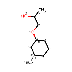 CC(O)CO[C@H]1CCC[C@H](C(C)(C)C)C1